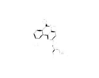 Cl.NC/C(=C\F)COc1ccc2[nH]c(=O)c3ccccc3c2c1